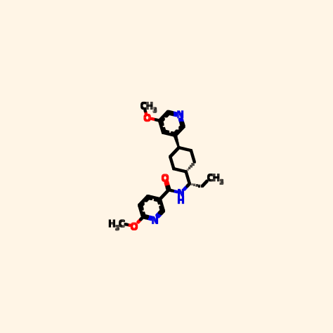 CC[C@H](NC(=O)c1ccc(OC)nc1)[C@H]1CC[C@H](c2cncc(OC)c2)CC1